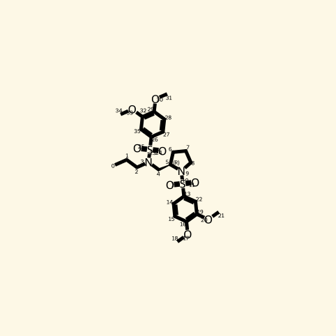 CCCN(C[C@H]1CCCN1S(=O)(=O)c1ccc(OC)c(OC)c1)S(=O)(=O)c1ccc(OC)c(OC)c1